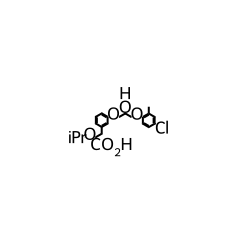 Cc1cc(Cl)ccc1OC[C@@H](O)COc1cccc(C[C@H](OC(C)C)C(=O)O)c1